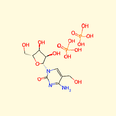 Nc1nc(=O)n([C@@H]2O[C@H](CO)[C@@H](O)[C@H]2O)cc1CO.O=P(O)(O)O.O=P(O)(O)O